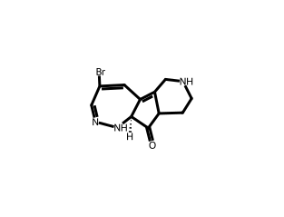 O=C1C2CCNCC2=C2C=C(Br)C=NN[C@H]12